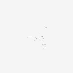 Cc1noc(C)c1-c1ccc(NC2CCS(=O)(=O)CC2)c(NC(=O)[C@@H]2CCC(=O)N2)c1